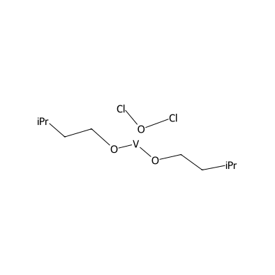 CC(C)CC[O][V][O]CCC(C)C.ClOCl